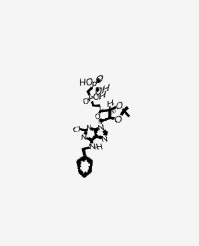 CC1(C)OC2[C@@H](O1)[C@@H](CCP(=O)(O)CP(=O)(O)O)O[C@H]2n1cnc2c(NCc3ccccc3)nc(Cl)nc21